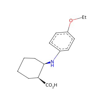 CCOc1ccc(N[C@@H]2CCCC[C@@H]2C(=O)O)cc1